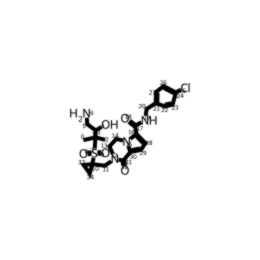 CC(C)(C(O)CN)S(=O)(=O)C1(CN2CCn3c(C(=O)NCc4ccc(Cl)cc4)ccc3C2=O)CC1